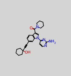 Nc1nccc(-n2cc(C(=O)N3CCCCC3)c3ccc(C#CC4(O)CCCCC4)cc32)n1